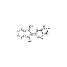 O=C1c2ccccc2C(=O)C1c1ccc2c(c1)OCO2